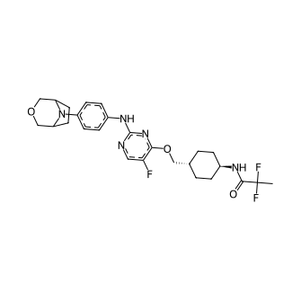 CC(F)(F)C(=O)N[C@H]1CC[C@H](COc2nc(Nc3ccc(N4C5CCC4COC5)cc3)ncc2F)CC1